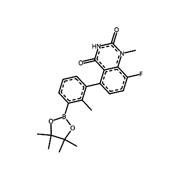 Cc1c(B2OC(C)(C)C(C)(C)O2)cccc1-c1ccc(F)c2c1c(=O)[nH]c(=O)n2C